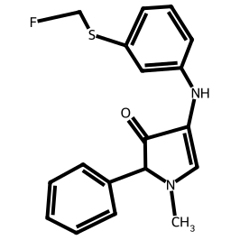 CN1C=C(Nc2cccc(SCF)c2)C(=O)C1c1ccccc1